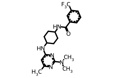 Cc1cc(NC2CCC(NC(=O)c3cccc(C(F)(F)F)c3)CC2)nc(N(C)C)n1